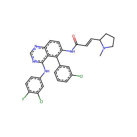 CN1CCCC1C=CC(=O)Nc1ccc2ncnc(Nc3ccc(F)c(Cl)c3)c2c1-c1cccc(Cl)c1